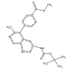 COC(=O)c1ccc(-c2c(C)ncc3ncc(NC(=O)OC(C)(C)C)cc23)cc1